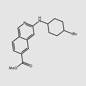 COC(=O)c1ccc2cnc(NC3CCC(C(C)(C)C)CC3)cc2c1